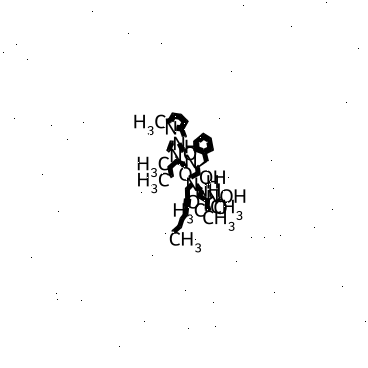 CCCCCC#CCN(C[C@H](O)[C@H](Cc1ccccc1)NC(=O)[C@H]([C@@H](C)CC)N1CCN(Cc2cccc(C)n2)C1=O)NC(=O)[C@@H](NC(=O)O)C(C)(C)C